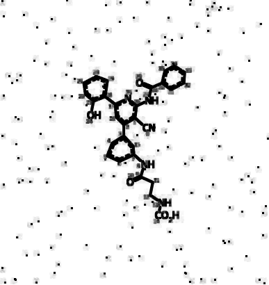 N#Cc1c(-c2cccc(NC(=O)CCNC(=O)O)c2)cc(-c2ccccc2O)nc1NC(=O)c1ccccc1